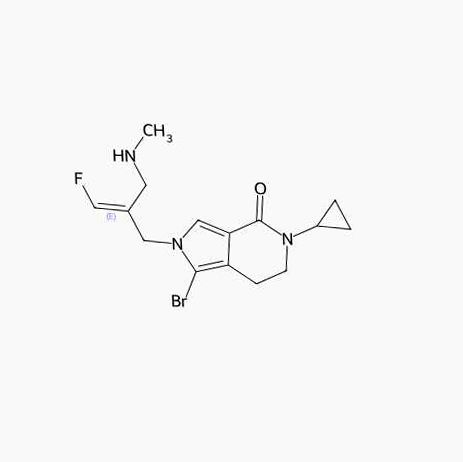 CNC/C(=C\F)Cn1cc2c(c1Br)CCN(C1CC1)C2=O